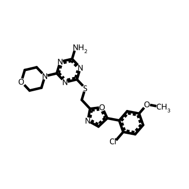 COc1ccc(Cl)c(-c2cnc(CSc3nc(N)nc(N4CCOCC4)n3)o2)c1